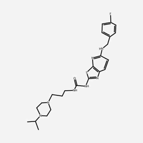 CC(C)N1CCN(CCCNC(=O)Nc2nc3ccc(NCc4ccc(F)cc4)nc3s2)CC1